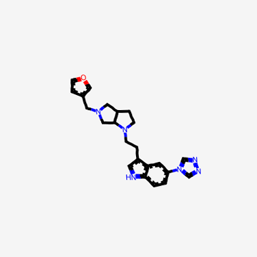 c1cc(CN2CC3CCN(CCc4c[nH]c5ccc(-n6cnnc6)cc45)C3C2)co1